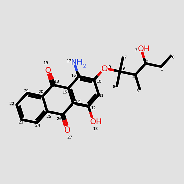 CCC(O)C(C)C(C)(C)Oc1cc(O)c2c(c1N)C(=O)c1ccccc1C2=O